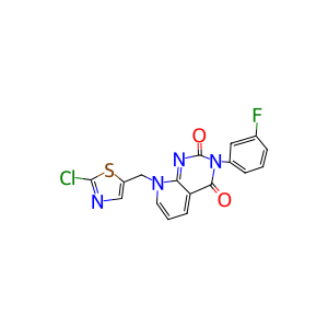 O=c1nc2n(Cc3cnc(Cl)s3)cccc-2c(=O)n1-c1cccc(F)c1